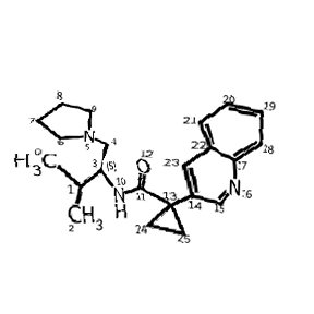 CC(C)[C@@H](CN1CCCC1)NC(=O)C1(c2cnc3ccccc3c2)CC1